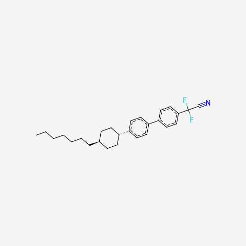 CCCCCCC[C@H]1CC[C@H](c2ccc(-c3ccc(C(F)(F)C#N)cc3)cc2)CC1